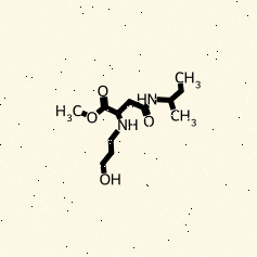 CCC(C)NC(=O)CC(NCCCO)C(=O)OC